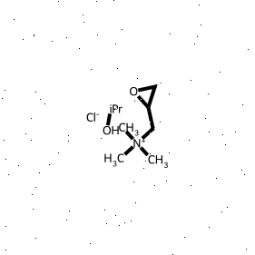 CC(C)O.C[N+](C)(C)CC1CO1.[Cl-]